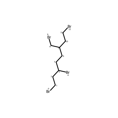 BrCCC(Br)CCC(CBr)CCBr